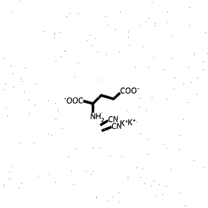 CC#N.CC#N.NC(CCC(=O)[O-])C(=O)[O-].[K+].[K+]